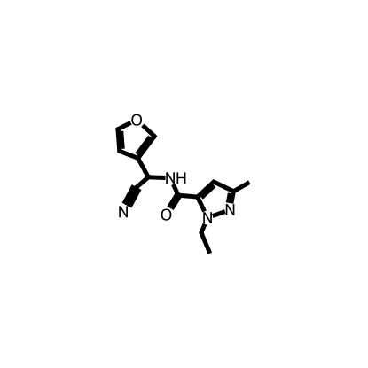 CCn1nc(C)cc1C(=O)NC(C#N)c1ccoc1